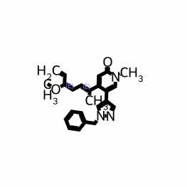 C=C/C(=C\C=C(/C)c1cc(=O)n(C)cc1-c1cnn(Cc2ccccc2)c1)OC